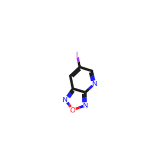 Ic1cnc2nonc2c1